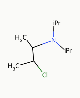 CC(Cl)C(C)N(C(C)C)C(C)C